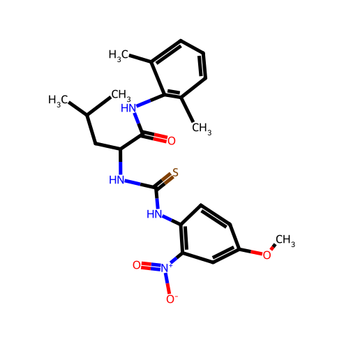 COc1ccc(NC(=S)NC(CC(C)C)C(=O)Nc2c(C)cccc2C)c([N+](=O)[O-])c1